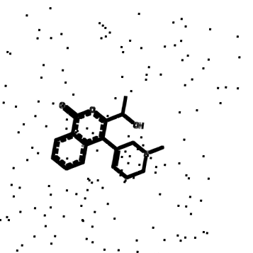 CC(O)c1oc(=O)c2ccccc2c1C1=CCCN(C)C1